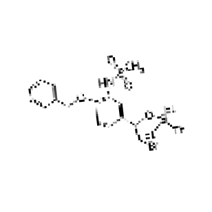 CC[Si](CC)(CC)O[C@@H](CBr)c1ccc(OCc2ccccc2)c(NS(C)(=O)=O)c1